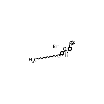 CCCCCCCCCCCCCCOc1ccc(C(=O)Nc2cccc(C[n+]3ccsc3)c2)cc1.[Br-]